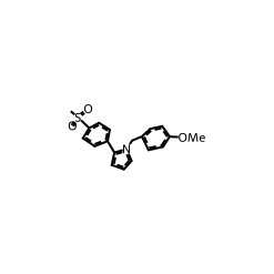 COc1ccc(Cn2cccc2-c2ccc(S(C)(=O)=O)cc2)cc1